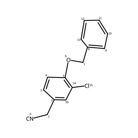 [C-]#[N+]Cc1ccc(OCc2ccccc2)c(Cl)c1